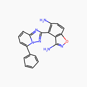 Nc1ccc2onc(N)c2c1-c1nc2cccc(-c3ccccc3)n2n1